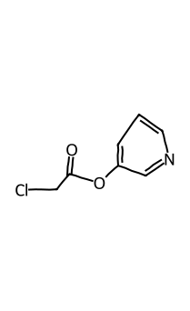 O=C(CCl)Oc1cccnc1